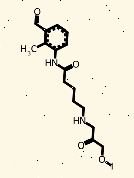 Cc1c(C=O)cccc1NC(=O)CCCCNCC(=O)COI